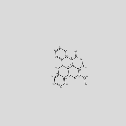 C=CC(c1ccccc1)N1C2CCc3ccccc3C2CC(OC)C1OC